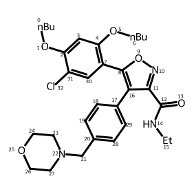 CCCCOc1cc(OCCCC)c(-c2onc(C(=O)NCC)c2-c2ccc(CN3CCOCC3)cc2)cc1Cl